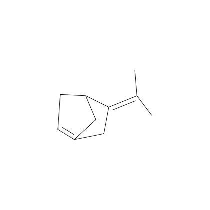 CC(C)=C1CC2=CCC1C2